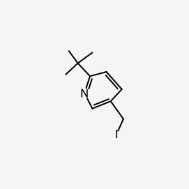 CC(C)(C)c1ccc(CI)cn1